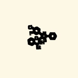 CCC(NC(=O)c1c(-c2ccc(Cl)c(F)c2)nc(-c2ccccc2)n1C)c1ccccc1